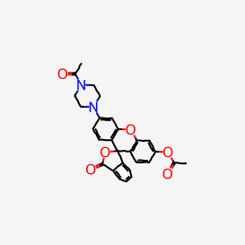 CC(=O)Oc1ccc2c(c1)Oc1cc(N3CCN(C(C)=O)CC3)ccc1C21OC(=O)c2ccccc21